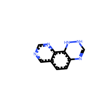 C1=Nc2ccc3cncnc3c2NN1